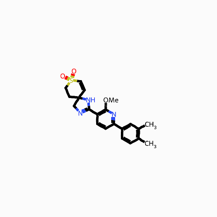 COc1nc(-c2ccc(C)c(C)c2)ccc1C1=NCC2(C=CS(=O)(=O)CC2)N1